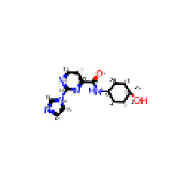 C[C@]1(O)CC[C@@H](NC(=O)c2ccnc(-n3ccnc3)n2)CC1